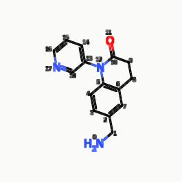 NCc1ccc2c(c1)CCC(=O)N2c1cccnc1